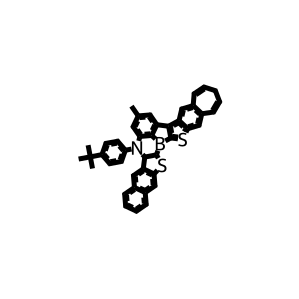 Cc1cc2c3c(c1)N(c1ccc(C(C)(C)C)cc1)C1c4cc5ccccc5cc4SC1B3c1sc3cc4c(cc3c1-2)C=CCC=C4